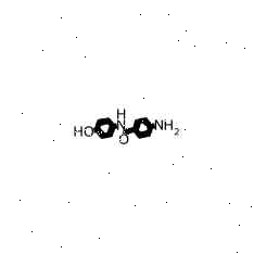 Nc1ccc(C(=O)Nc2ccc(O)cc2)cc1